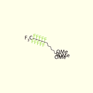 CO[Si](CCCCCCC(F)(F)C(F)(F)C(F)(F)C(F)(F)C(F)(F)C(F)(F)F)(OC)OC